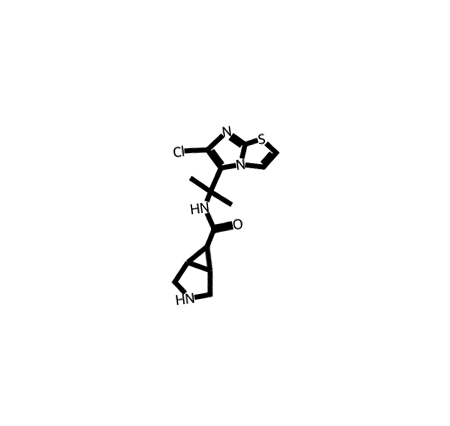 CC(C)(NC(=O)C1C2CNCC21)c1c(Cl)nc2sccn12